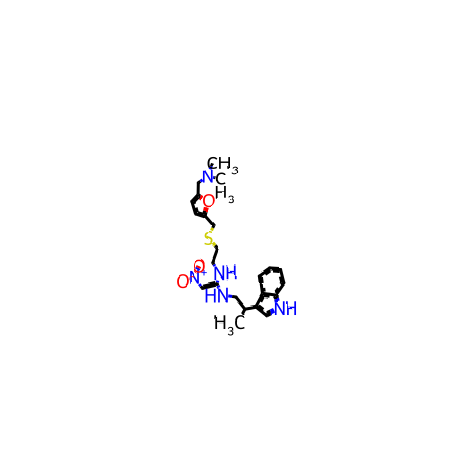 CC(CNC(=C[N+](=O)[O-])NCCSCc1ccc(CN(C)C)o1)c1c[nH]c2ccccc12